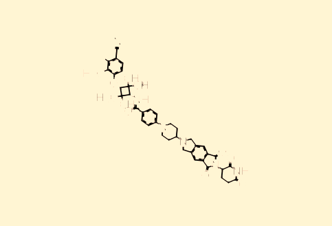 Cc1c(O[C@H]2C(C)(C)[C@H](NC(=O)c3ccc(N4CCC(N5Cc6cc7c(cc6C5)C(=O)N(C5CCC(=O)NC5=O)C7=O)CC4)cc3)C2(C)C)ccc(C#N)c1F